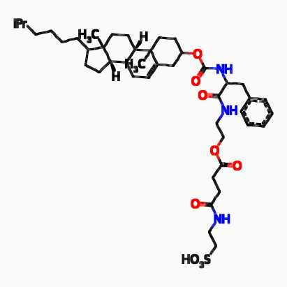 CC(C)CCCCC1CC[C@H]2C3CC=C4CC(OC(=O)NC(Cc5ccccc5)C(=O)NCCOC(=O)CCC(=O)NCCS(=O)(=O)O)CCC4(C)[C@H]3CCC12C